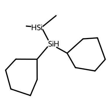 C[SiH](C)[SiH](C1CCCCC1)C1CCCCC1